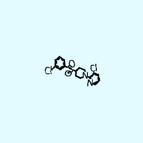 O=S(=O)(c1cccc(Cl)c1)C1CCN(c2ncccc2Cl)CC1